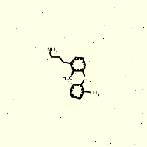 Cc1ccccc1Oc1cccc(CCCN)c1C